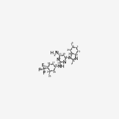 Cc1ccc2nc(C)n(-c3cc(N)nc(Nc4ccc(C(F)(F)F)c(C)c4)n3)c2c1